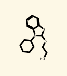 OCCSC1Sc2ccccc2N1C1CCCCC1